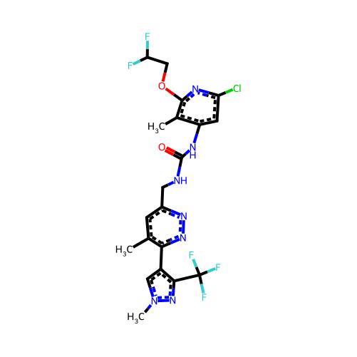 Cc1cc(CNC(=O)Nc2cc(Cl)nc(OCC(F)F)c2C)nnc1-c1cn(C)nc1C(F)(F)F